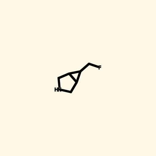 FCC1C2CNCC12